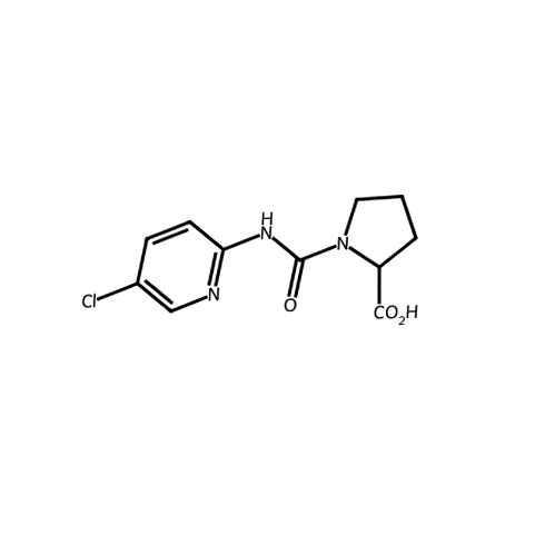 O=C(O)C1CCCN1C(=O)Nc1ccc(Cl)cn1